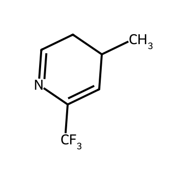 CC1C=C(C(F)(F)F)N=CC1